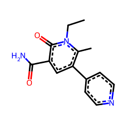 CCn1c(C)c(-c2ccncc2)cc(C(N)=O)c1=O